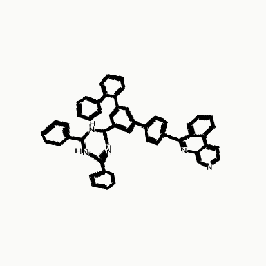 c1ccc(C2=NC(c3cc(-c4ccc(-c5nc6cnccc6c6ccccc56)cc4)cc(-c4ccccc4-c4ccccc4)c3)NC(c3ccccc3)N2)cc1